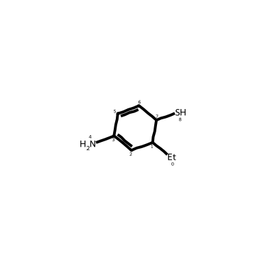 CCC1C=C(N)C=CC1S